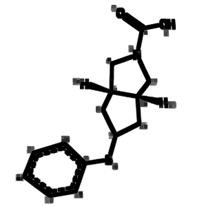 O=C(O)N1C[C@H]2CC(Sc3ccccc3)C[C@H]2C1